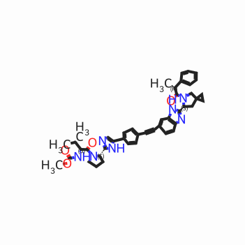 COC(=O)N[C@H](C(=O)N1CCC[C@H]1c1ncc(-c2ccc(C#Cc3ccc4nc([C@@H]5CC6(CC6)CN5C(=O)[C@H](C)c5ccccc5)[nH]c4c3)cc2)[nH]1)C(C)C